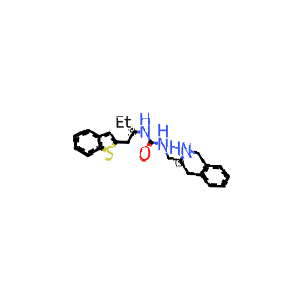 CC[C@@H](Cc1cc2ccccc2s1)NC(=O)NC[C@@H]1Cc2ccccc2CN1